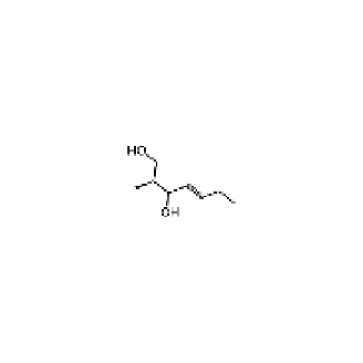 CC/C=C/[C@@H](O)[C@@H](C)CO